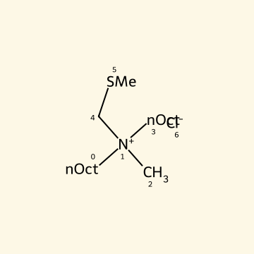 CCCCCCCC[N+](C)(CCCCCCCC)CSC.[Cl-]